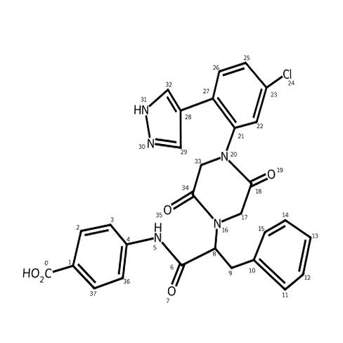 O=C(O)c1ccc(NC(=O)C(Cc2ccccc2)N2CC(=O)N(c3cc(Cl)ccc3-c3cn[nH]c3)CC2=O)cc1